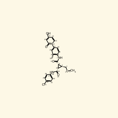 COC[C@@H]1[C@@H](C(=O)Nc2ccc(-n3ccc(O)cc3=O)cc2F)[C@H]1C(=O)Nc1ccc(Cl)cc1